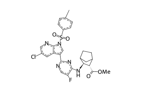 COC(=O)[C@H]1C2CCC(C2)[C@@H]1Nc1nc(-c2cn(S(=O)(=O)c3ccc(C)cc3)c3ncc(Cl)cc23)ncc1F